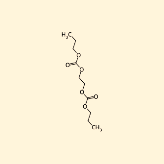 CCCOC(=O)OCCOC(=O)OCCC